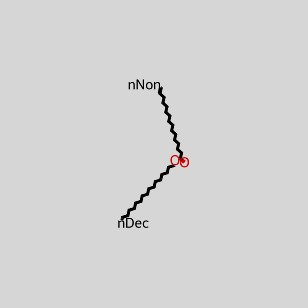 CCCCCCCCCC=CCCCCCCCCCCCCCC(=O)OCCCCCCCCCCCCCCCCCCCCCCCCCC